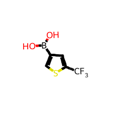 OB(O)c1csc(C(F)(F)F)c1